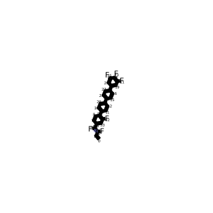 C=C/C(F)=C(\F)c1ccc(-c2ccc(-c3ccc(-c4cc(F)c(F)c(F)c4)cc3)cc2)c(F)c1